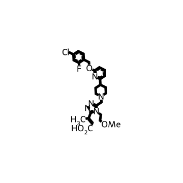 COCCn1c(CN2CCC(c3cccc(OCc4ccc(Cl)cc4F)n3)CC2)nnc1C(C)=CC(=O)O